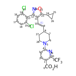 O=C(O)c1ccc(N2CCC(/C=C/c3c(-c4c(Cl)cccc4Cl)noc3C3CC3)CC2)nc1C(F)(F)F